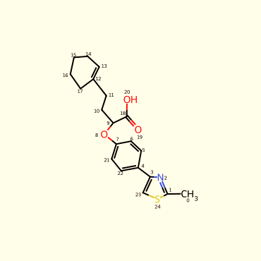 Cc1nc(-c2ccc(OC(CCC3=CCCCC3)C(=O)O)cc2)cs1